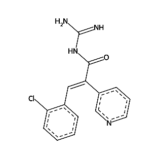 N=C(N)NC(=O)/C(=C/c1ccccc1Cl)c1cccnc1